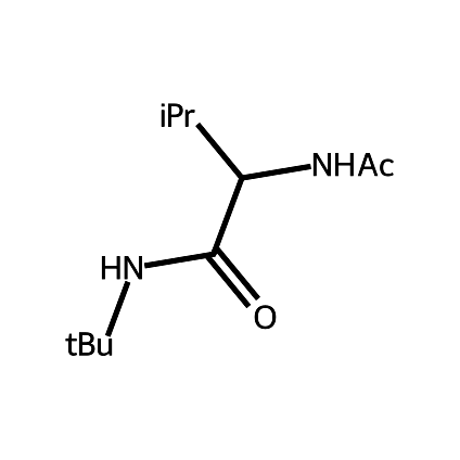 CC(=O)NC(C(=O)NC(C)(C)C)C(C)C